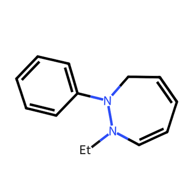 CCN1C=CC=CCN1c1ccccc1